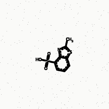 Cc1nc2c(S(=O)(=O)O)cccc2s1